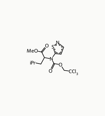 COC(=O)C(CC(C)C)N(C(=O)OCC(Cl)(Cl)Cl)c1ccns1